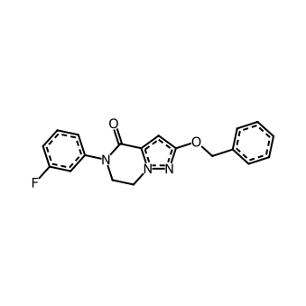 O=C1c2cc(OCc3ccccc3)nn2CCN1c1cccc(F)c1